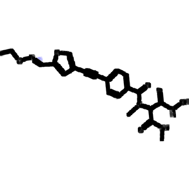 CCO/N=C/c1cc(C#Cc2ccc(C(=O)N(C)C(C(=O)NC)C(=O)NO)cc2)co1